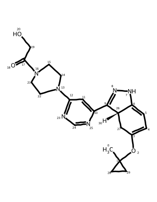 CC1(OC2=CC=C3NN=C(c4cc(N5CCN(C(=O)CO)CC5)ncn4)[C@H]3C2)CC1